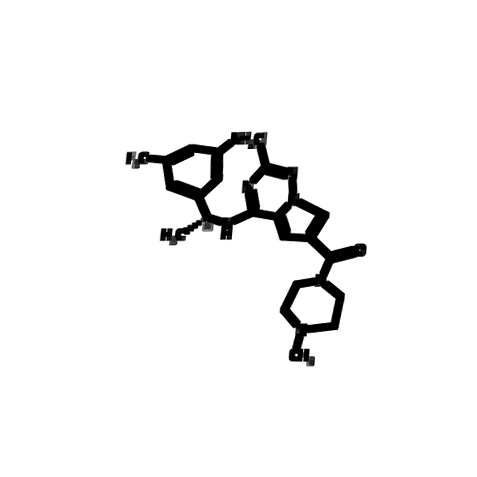 C[C@@H](Nc1nc(Cl)nn2cc(C(=O)N3CCN(C)CC3)cc12)c1cc(N)cc(C(F)(F)F)c1